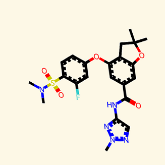 CN(C)S(=O)(=O)c1ccc(Oc2cc(C(=O)Nc3cnn(C)n3)cc3c2CC(C)(C)O3)cc1F